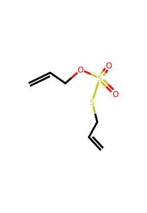 C=CCOS(=O)(=O)SCC=C